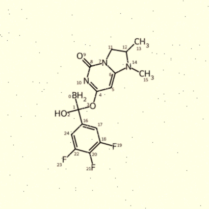 BC(O)(Oc1cc2n(c(=O)n1)CC(C)N2C)c1cc(F)c(F)c(F)c1